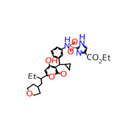 CCOC(=O)c1c[nH]c(S(=O)(=O)Nc2cccc(C(c3c(O)cc(C(CC)CC4CCOCC4)oc3=O)C3CC3)c2)n1